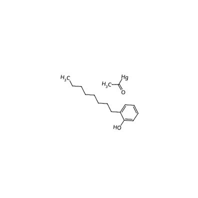 CCCCCCCCc1ccccc1O.C[C](=O)[Hg]